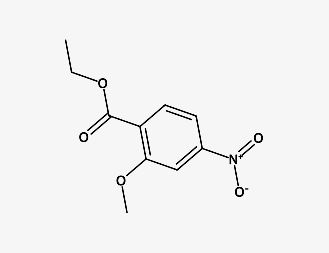 CCOC(=O)c1ccc([N+](=O)[O-])cc1OC